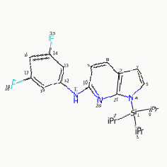 CC(C)[Si](C(C)C)(C(C)C)n1ccc2ccc(Nc3cc(F)cc(F)c3)nc21